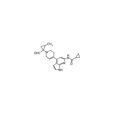 CC1CC1(C=O)N1CC=C(c2cc(NC(=O)C3CC3)nc3[nH]ccc23)CC1